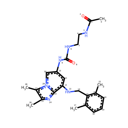 CC(=O)NCCNC(=O)Nc1cc(NCc2c(C)cccc2C)c2nc(C)c(C)n2c1